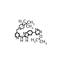 CC(C)Oc1cc(-c2ccc3nc(Nc4cc(CN5CCN(C(C)(C)C)CC5)ccn4)[nH]c3c2)ncn1